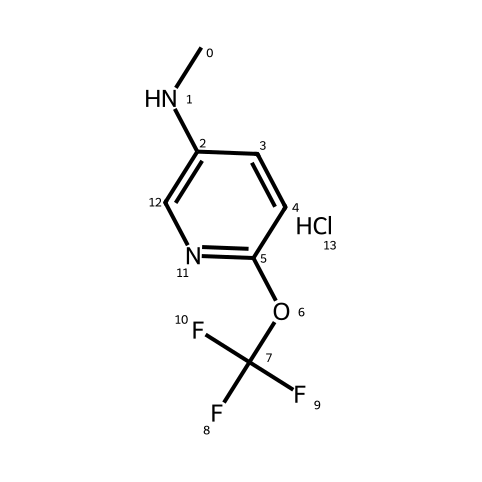 CNc1ccc(OC(F)(F)F)nc1.Cl